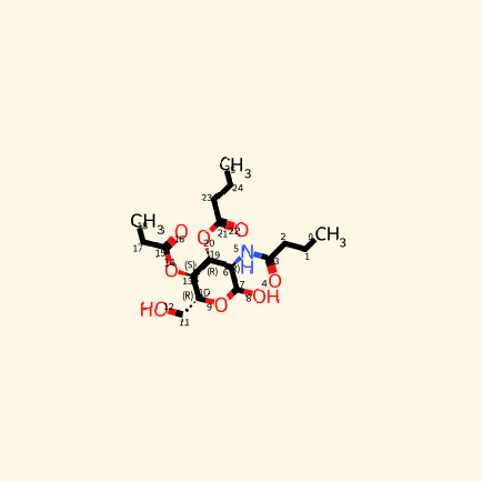 CCCC(=O)N[C@H]1C(O)O[C@H](CO)[C@@H](OC(=O)CC)[C@@H]1OC(=O)CCC